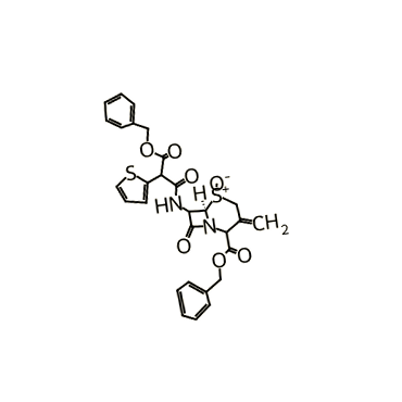 C=C1C[S+]([O-])[C@@H]2C(NC(=O)C(C(=O)OCc3ccccc3)c3cccs3)C(=O)N2C1C(=O)OCc1ccccc1